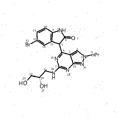 CCCn1cc2c(C3C(=O)Nc4ccc(Br)cc43)nc(NC[C@H](O)CO)nc2n1